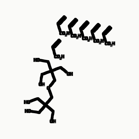 C=CC(=O)O.C=CC(=O)O.C=CC(=O)O.C=CC(=O)O.C=CC(=O)O.C=CC(=O)O.OCC(CO)(CO)COCC(CO)(CO)CO